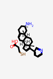 C[C@]12C[C@@H](N)CCC1=CC[C@@H]1[C@@H]2CC[C@]2(C)C(c3cccnc3)=CC[C@@H]12.O=C(O)CCS